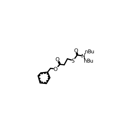 CCCCN(CCCC)C(=O)SCCC(=O)OCc1ccccc1